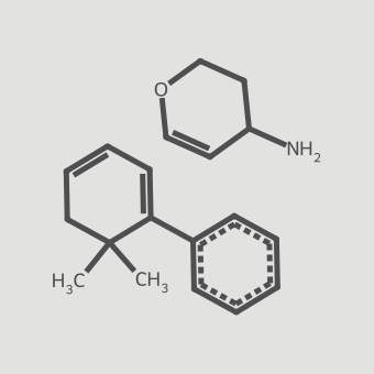 CC1(C)CC=CC=C1c1ccccc1.NC1C=COCC1